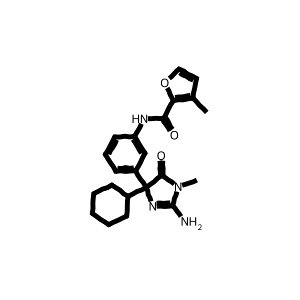 Cc1ccoc1C(=O)Nc1cccc(C2(C3CCCCC3)N=C(N)N(C)C2=O)c1